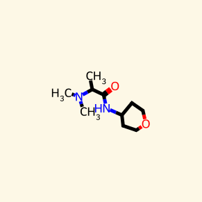 CC(C(=O)NC1CCOCC1)N(C)C